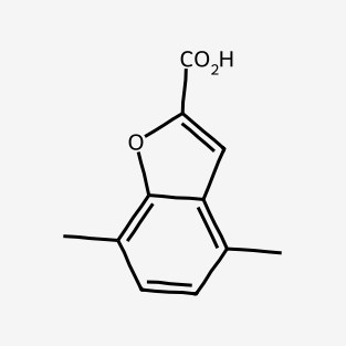 Cc1ccc(C)c2oc(C(=O)O)cc12